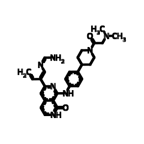 C=C/C(=C\N=C/N)c1cc2cc[nH]c(=O)c2c(Nc2ccc(C3CCN(C(=O)CN(C)C)CC3)cc2)n1